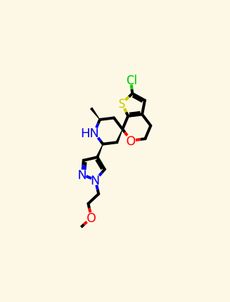 COCCn1cc([C@@H]2C[C@]3(C[C@H](C)N2)OCCc2cc(Cl)sc23)cn1